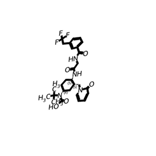 CC(C)(C)N(C(=O)O)[C@@H]1CC[C@H](NC(=O)CNC(=O)c2cccc(CC(F)(F)F)c2)[C@H](Cn2ccccc2=O)C1